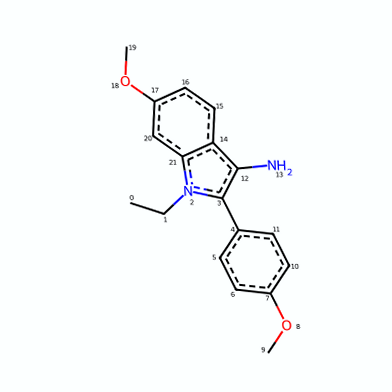 CCn1c(-c2ccc(OC)cc2)c(N)c2ccc(OC)cc21